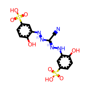 N#CC(/N=N/c1cc(S(=O)(=O)O)ccc1O)=N\Nc1cc(S(=O)(=O)O)ccc1O